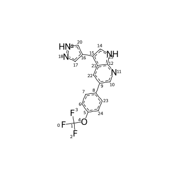 FC(F)(F)Oc1ccc(-c2cnc3[nH]cc(-c4cn[nH]c4)c3c2)cc1